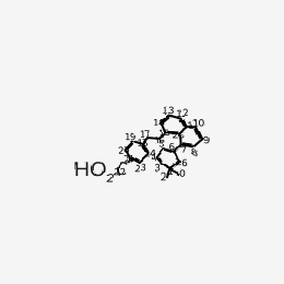 CC1(C)C=CC=C(c2cccc3cccc(CCc4ccc(C(=O)O)cc4)c23)C1